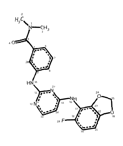 CN(C)C(=O)c1cccc(Nc2nccc(Nc3c(F)ccc4c3OCO4)n2)c1